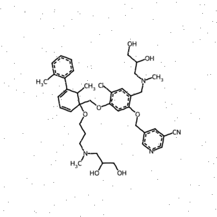 Cc1ccccc1C1=CC=CC(COc2cc(OCc3cncc(C#N)c3)c(CN(C)CC(O)CO)cc2Cl)(OCCCN(C)CC(O)CO)C1C